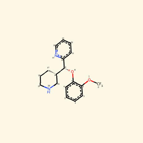 FC(F)(F)Oc1ccccc1O[C@@H](c1ccccn1)[C@H]1CCCNC1